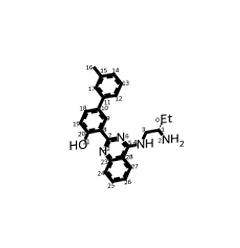 CC[C@H](N)CNc1nc(-c2cc(-c3cccc(C)c3)ccc2O)nc2ccccc12